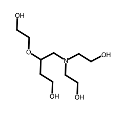 OCCOC(CCO)CN(CCO)CCO